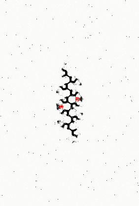 c1sc2c(c1-c1sc3c(c1-c1sc4c(c1-c1sc5c(c1-c1sc6c(c1-c1c(-c7c(-c8c(-c9c(-c%10csc%11c%10OCO%11)sc%10c9OCO%10)sc9c8OCO9)sc8c7OCO8)sc7c1OCO7)OCO6)OCO5)OCO4)OCO3)OCO2